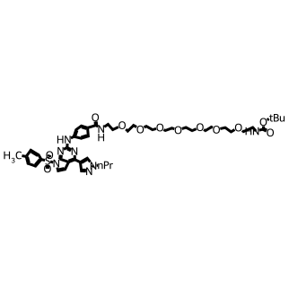 CCCn1cc(-c2nc(Nc3ccc(C(=O)NCCOCCOCCOCCOCCOCCOCCOCCNC(=O)OC(C)(C)C)cc3)nc3c2ccn3S(=O)(=O)c2ccc(C)cc2)cn1